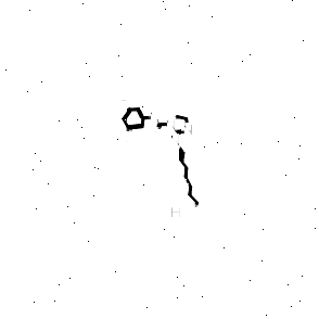 CCCCCCC=CNC1=NCCN1C(=S)Nc1cc(F)cc(Cl)c1